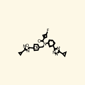 Cn1c(-c2cccc(N(CC34CCC(c5nc(C6CC6)no5)(CC3)CC4)C(=O)C34CC(F)(C3)C4)c2)nnc1C1CC1